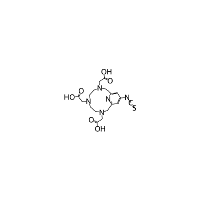 O=C(O)CN1CCN(CC(=O)O)Cc2cc(N=C=S)cc(n2)CN(CC(=O)O)CC1